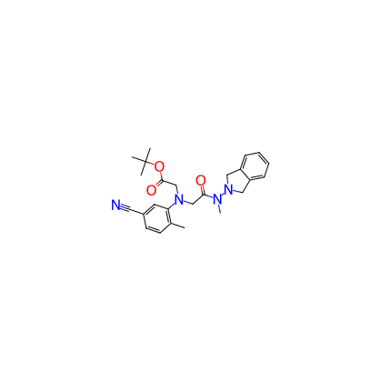 Cc1ccc(C#N)cc1N(CC(=O)OC(C)(C)C)CC(=O)N(C)N1Cc2ccccc2C1